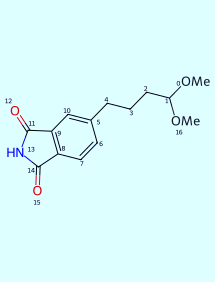 COC(CCCc1ccc2c(c1)C(=O)NC2=O)OC